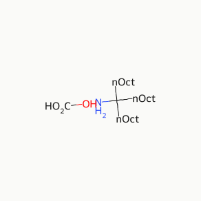 CCCCCCCCC(N)(CCCCCCCC)CCCCCCCC.O=C(O)O